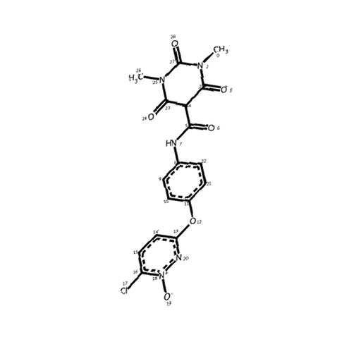 CN1C(=O)C(C(=O)Nc2ccc(Oc3ccc(Cl)[n+]([O-])n3)cc2)C(=O)N(C)C1=O